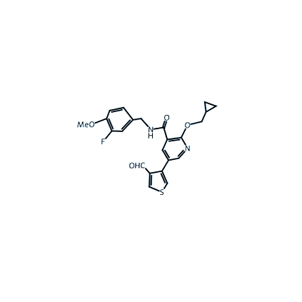 COc1ccc(CNC(=O)c2cc(-c3cscc3C=O)cnc2OCC2CC2)cc1F